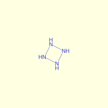 N1NNN1